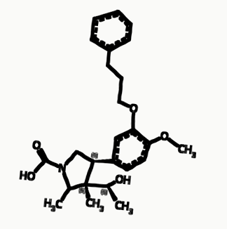 COc1ccc([C@@H]2CN(C(=O)O)C(C)[C@@]2(C)[C@H](C)O)cc1OCCCc1ccccc1